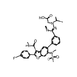 C=N/C(=N\N(CC(=O)O)C(C)C)c1cccc(-c2cc3c(C(=O)NC)c(-c4ccc(F)cc4)oc3cc2N(C)S(C)(=O)=O)c1